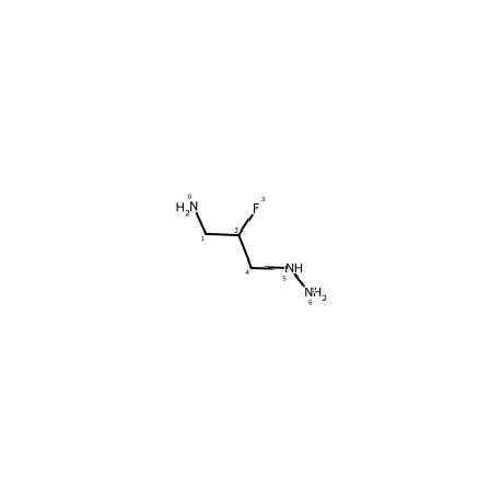 NCC(F)CNN